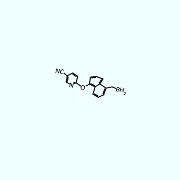 BCc1cccc2c(Oc3ccc(C#N)cn3)cccc12